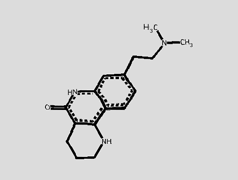 CN(C)CCc1ccc2c3c(c(=O)[nH]c2c1)CCCN3